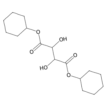 O=C(OC1CCCCC1)C(O)C(O)C(=O)OC1CCCCC1